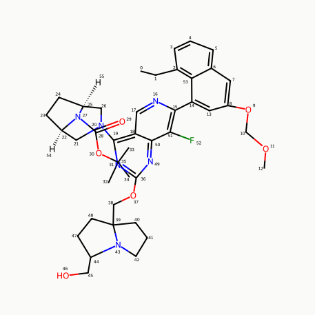 CCc1cccc2cc(OCOC)cc(-c3ncc4c(N5C[C@H]6CC[C@@H](C5)N6C(=O)OC(C)(C)C)nc(OCC56CCCN5C(CO)CC6)nc4c3F)c12